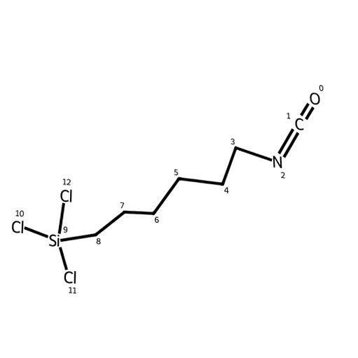 O=C=NCCCCCC[Si](Cl)(Cl)Cl